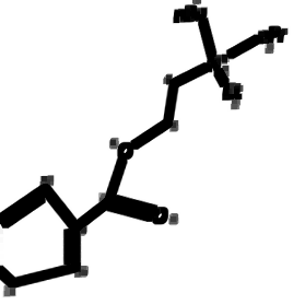 CCCC[N+](CC)(CCC)CCOC(=O)C1=CCCC=C1